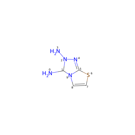 NC1N(N)N=C2SC=CN21